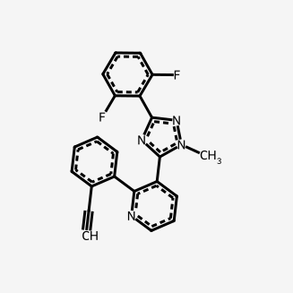 C#Cc1ccccc1-c1ncccc1-c1nc(-c2c(F)cccc2F)nn1C